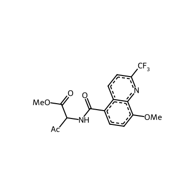 COC(=O)C(NC(=O)c1ccc(OC)c2nc(C(F)(F)F)ccc12)C(C)=O